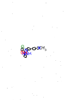 CN1CCC(c2ccc(-c3ccc4c(c3)CN(C(c3nc5ccccc5[nH]3)c3cc(Cl)ccc3O)C4)cc2)CC1